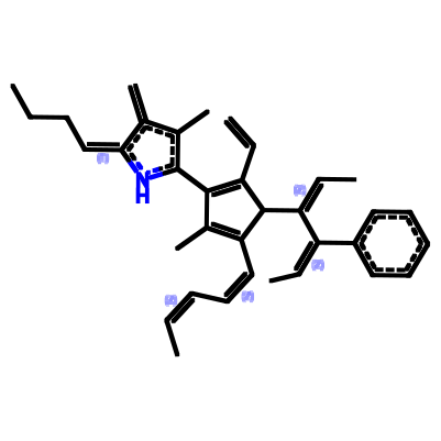 C=CC1=C(c2[nH]/c(=C/CCC)c(=C)c2C)C(C)=C(/C=C\C=C/C)C1C(=C/C)/C(=C\C)c1ccccc1